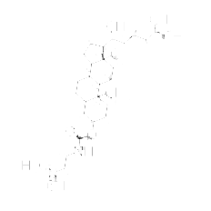 CC(C)CCC[C@@H](C)C1CCC2C3CCC4CC(OC(=O)NCCN(C)C)CCC4(C)C3CCC21C